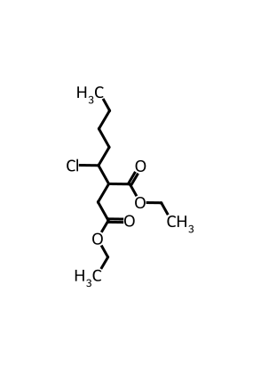 CCCCC(Cl)C(CC(=O)OCC)C(=O)OCC